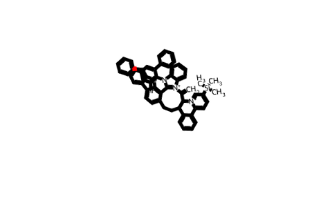 C=C1C2C(CCc3ccc4c(oc5ccccc54)c3-c3n(-c4c(-c5ccccc5)cc(-c5ccccc5)cc4C(C)C)c4ccccc4[n+]31)c1ccccc1-c1ccc([Si](C)(C)C)c[n+]12